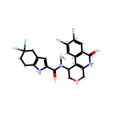 CN(C(=O)c1cc2c([nH]1)CCC(F)(F)C2)C1COCc2[nH]c(=O)c3cc(F)c(F)cc3c21